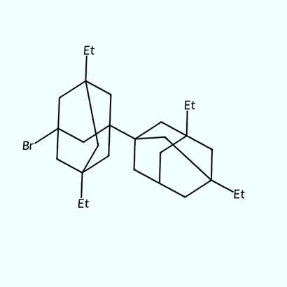 CCC12CC3CC(CC)(C1)CC(C14CC5(Br)CC(CC)(CC(CC)(C5)C1)C4)(C3)C2